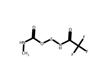 CNC(=O)OSNC(=O)C(F)(F)F